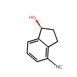 [C-]#[N+]c1cccc2c1CC[C@@H]2O